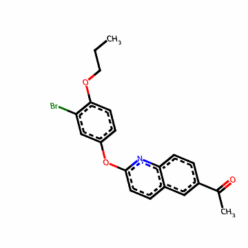 CCCOc1ccc(Oc2ccc3cc(C(C)=O)ccc3n2)cc1Br